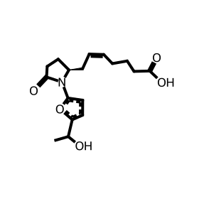 CC(O)c1ccc(N2C(=O)CC[C@H]2C/C=C\CCCC(=O)O)o1